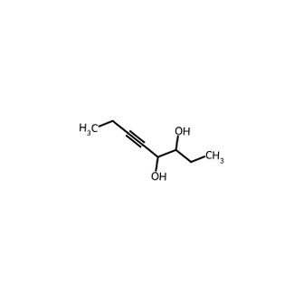 CCC#CC(O)C(O)CC